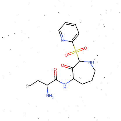 CC(C)C[C@H](N)C(=O)NC1CCCNC(S(=O)(=O)c2ccccn2)C1=O